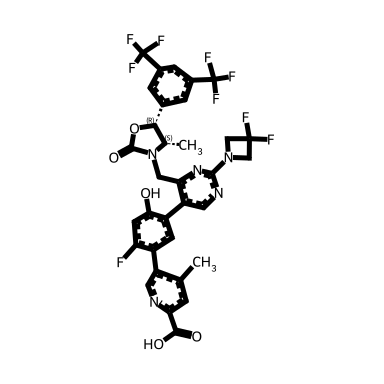 Cc1cc(C(=O)O)ncc1-c1cc(-c2cnc(N3CC(F)(F)C3)nc2CN2C(=O)O[C@H](c3cc(C(F)(F)F)cc(C(F)(F)F)c3)[C@@H]2C)c(O)cc1F